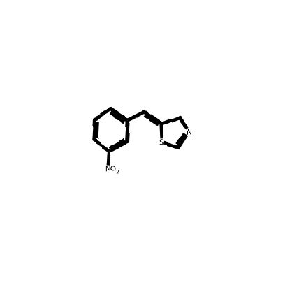 O=[N+]([O-])c1cccc(C=C2CN=CS2)c1